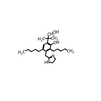 CCCCCc1cc(C(C)(C)C)c(O)c(CCCCC)c1CC1=NCCN1.Cl